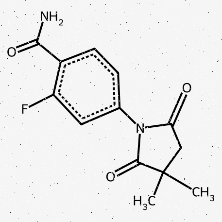 CC1(C)CC(=O)N(c2ccc(C(N)=O)c(F)c2)C1=O